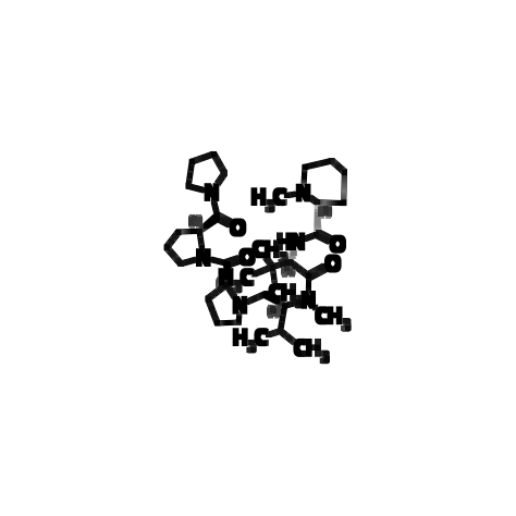 CC(C)[C@@H](CN1CCC[C@H]1C(=O)N1CCC[C@H]1C(=O)N1CCCC1)N(C)C(=O)[C@@H](NC(=O)[C@H]1CCCCN1C)C(C)(C)C